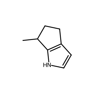 CC1CCc2cc[nH]c21